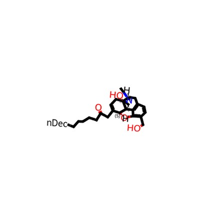 CCCCCCCCCCCCCCCC(=O)CC1=CC[C@@]2(O)[C@H]3Cc4ccc(CO)c5c4[C@@]2(CCN3C)[C@H]1O5